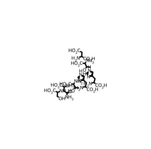 CC(O)C(N)C(=O)O.CC(O)C(N)C(=O)O.NC(=O)CC(N)C(=O)O.NC(CC(=O)O)C(=O)O.NC(CO)C(=O)O.NC(Cc1c[nH]cn1)C(=O)O.NC(Cc1c[nH]cn1)C(=O)O